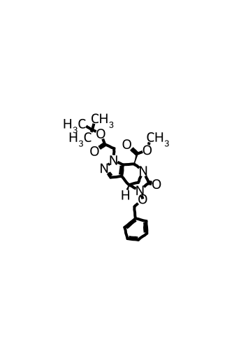 COC(=O)[C@@H]1c2c(cnn2CC(=O)OC(C)(C)C)[C@@H]2CN1C(=O)N2OCc1ccccc1